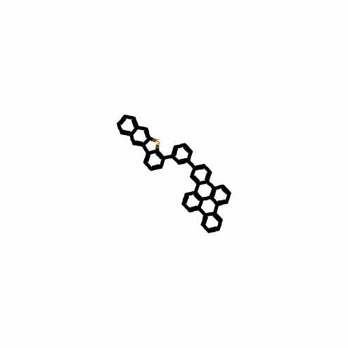 c1cc(-c2ccc3c(c2)c2cccc4c5ccccc5c5cccc3c5c42)cc(-c2cccc3c2sc2cc4ccccc4cc23)c1